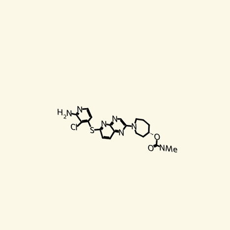 CNC(=O)O[C@H]1CCCN(c2cnc3nc(Sc4ccnc(N)c4Cl)ccc3n2)CC1